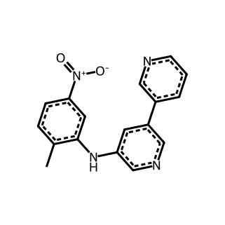 Cc1ccc([N+](=O)[O-])cc1Nc1cncc(-c2cccnc2)c1